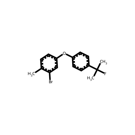 Cc1ccc(Oc2ccc(C(C)(C)F)cc2)cc1Br